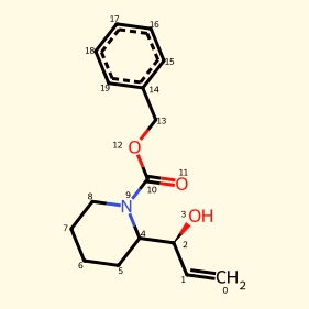 C=C[C@H](O)C1CCCCN1C(=O)OCc1ccccc1